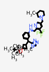 C[C@H]1CCCN(Cc2cnc(CNc3cccc(C(c4nncn4C)C4CC(O[Si](C)(C)C(C)(C)C)C4)c3)c(C(F)(F)F)c2)C1